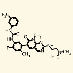 Cc1cc(F)c(NC(=O)Nc2cccc(C(F)(F)F)c2)cc1-c1cc2cnc(NCCN(C)C)nc2n(C)c1=O